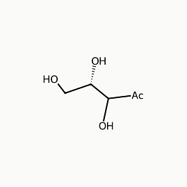 CC(=O)C(O)[C@@H](O)CO